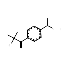 CC(C(=O)O)c1ccc(C(=O)C(C)(C)N=O)cc1